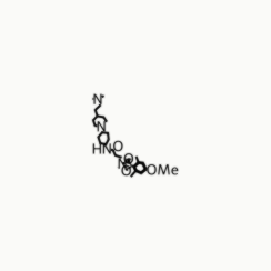 COc1cc(C)c(S(=O)(=O)N(C)CCC(=O)N[C@H]2CC[C@@H](N3CCC(CCN(C)C)CC3)CC2)c(C)c1